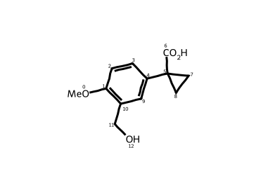 COc1ccc(C2(C(=O)O)CC2)cc1CO